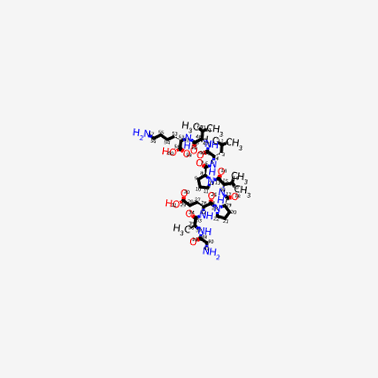 CC(C)C[C@H](NC(=O)[C@@H]1CCCN1C(=O)[C@@H](NC(=O)[C@@H]1CCCN1C(=O)[C@H](CCC(=O)O)NC(=O)[C@H](C)NC(=O)CN)C(C)C)C(=O)N[C@H](C(=O)N[C@@H](CCCCN)C(=O)O)C(C)C